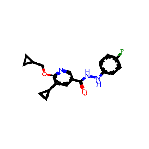 O=C(NNc1ccc(F)cc1)c1cnc(OCC2CC2)c(C2CC2)c1